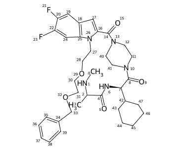 CNC(C)C(=O)N[C@@H](C(=O)N1CCN(C(=O)c2cc3cc(F)c(F)cc3n2CCOCCOCc2ccccc2)CC1)C1CCCCC1